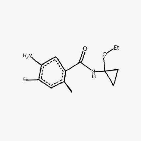 CCOC1(NC(=O)c2cc(N)c(F)cc2C)CC1